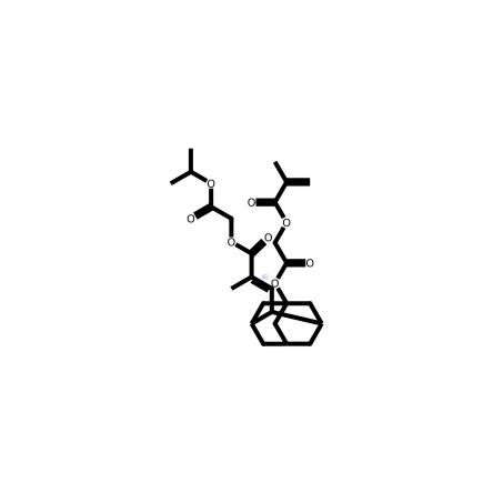 C=C(C)C(=O)OCC(=O)OC12CC3CC(C1)C(/C=C(\C)C(=O)OCC(=O)OC(C)C)C(C3)C2